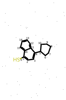 Sc1ccc(C2CCCCC2)c2ccccc12